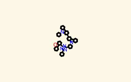 c1ccc(-c2nc(-c3cccc(-n4c5ccccc5c5cc(-c6ccc7c8ccccc8n(-c8ccccc8)c7c6)ccc54)c3)nc(-c3cccc4oc5ccccc5c34)n2)cc1